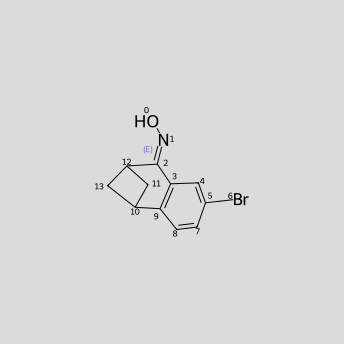 O/N=C1/c2cc(Br)ccc2C2CC1C2